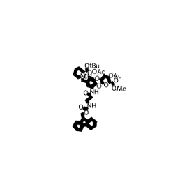 COC(=O)[C@H]1O[C@@H](Oc2ccc(C[N+]3(C)CCCC[C@@H]3C(=O)OC(C)(C)C)cc2NC(=O)CCNC(=O)OCC2c3ccccc3-c3ccccc32)[C@H](OC(C)=O)[C@@H](OC(C)=O)[C@@H]1OC(C)=O